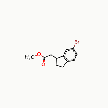 COC(=O)CC1CCc2ccc(Br)cc21